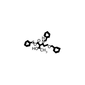 CC(O)C(C(=O)OSc1ccccc1)C(CCOCc1ccccc1)NCc1ccccc1